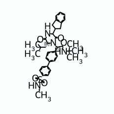 CCNS(=O)(=O)c1ccc(-c2ccc([C@H](C(=O)NC(C)(C)C)N3C(=O)C(C4Cc5ccccc5C4)NC(=O)[C@H]3CC(C)C)cc2)cc1